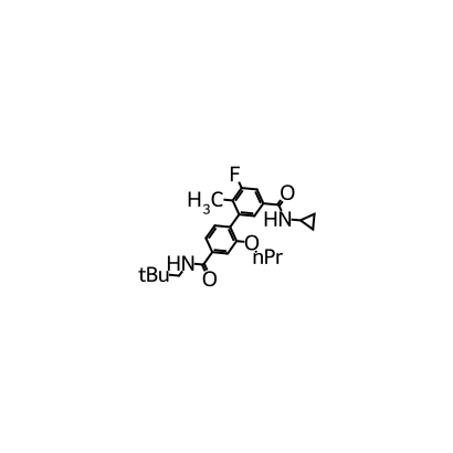 CCCOc1cc(C(=O)NCC(C)(C)C)ccc1-c1cc(C(=O)NC2CC2)cc(F)c1C